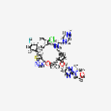 C#C/C(Cl)=C1\C=C/Cc2c(-c3ccc(F)cc3)sc3ncnc(c23)O[C@@H](C(=O)O)Cc2cc(ccc2OCc2ccnc(N3CCOC[C@H]3C)n2)CN(CCN2CCN(C)CC2)C1